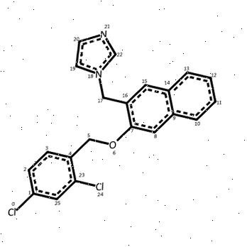 Clc1ccc(COc2cc3ccccc3cc2Cn2ccnc2)c(Cl)c1